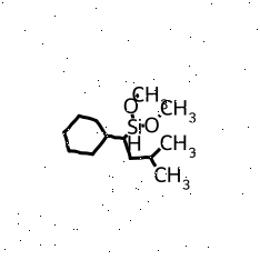 CO[SiH](OC)C(CC(C)C)C1CCCCC1